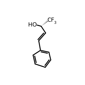 O[C@@H](C=Cc1ccccc1)C(F)(F)F